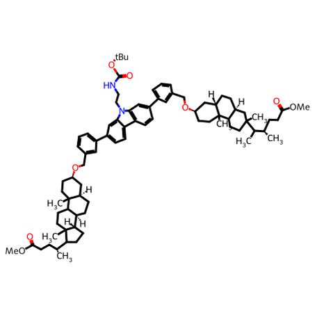 COC(=O)CC[C@@H](C)C(C)C1(C)CCC2[C@@H](CC[C@H]3C[C@H](OCc4cccc(-c5ccc6c7ccc(-c8cccc(CO[C@@H]9CCC%10(C)C%11CCC%12(C)C([C@H](C)CCC(=O)OC)CC[C@H]%12[C@@H]%11CC[C@@H]%10C9)c8)cc7n(CCNC(=O)OC(C)(C)C)c6c5)c4)CCC23C)C1